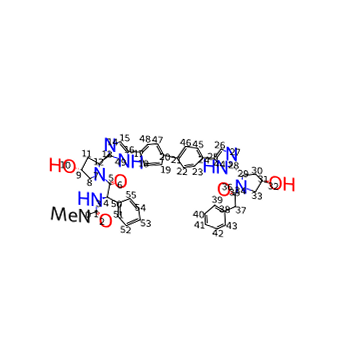 CNC(=O)N[C@@H](C(=O)N1C[C@H](O)C[C@H]1c1ncc(-c2ccc(-c3ccc(-c4cnc([C@@H]5C[C@@H](O)CN5C(=O)Cc5ccccc5)[nH]4)cc3)cc2)[nH]1)c1ccccc1